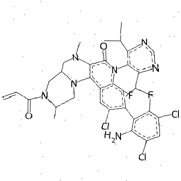 C=CC(=O)N1CC2CN(C)c3c(c4cc(Cl)c(-c5c(N)c(Cl)cc(Cl)c5F)c(F)c4n(-c4c(C(C)C)ncnc4C(C)C)c3=O)N2CC1C